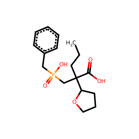 CCCC(CP(=O)(O)Cc1ccccc1)(C(=O)O)C1CCCO1